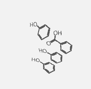 O=C(O)c1ccccc1.Oc1ccccc1.Oc1ccccc1.Oc1ccccc1